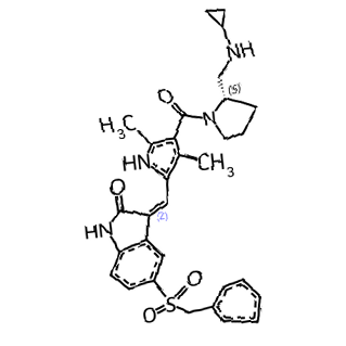 Cc1[nH]c(/C=C2\C(=O)Nc3ccc(S(=O)(=O)Cc4ccccc4)cc32)c(C)c1C(=O)N1CCC[C@H]1CNC1CC1